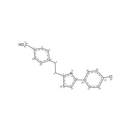 O=C(O)c1ccc(CCc2nc(-c3ccc(Cl)cc3)cs2)cc1